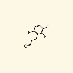 O=CCCc1c(F)ccc(F)c1F